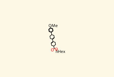 CCCCCCOC(=O)C1CC=C(C2=CCC(c3ccc(OC)cc3)CC2)CC1